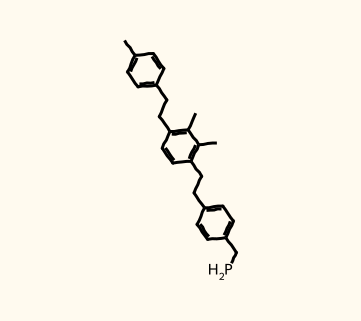 Cc1ccc(CCc2ccc(CCc3ccc(CP)cc3)c(C)c2C)cc1